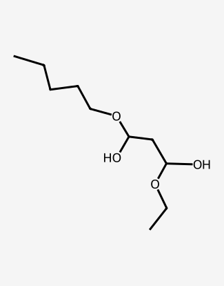 CCCCCOC(O)CC(O)OCC